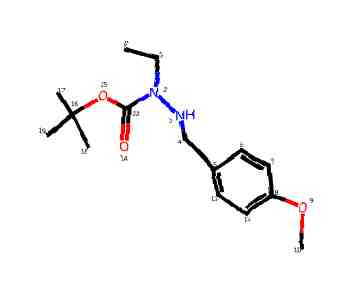 CCN(NCc1ccc(OC)cc1)C(=O)OC(C)(C)C